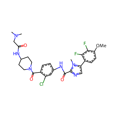 COc1ccc(-c2cnc(C(=O)Nc3ccc(C(=O)N4CCC(NC(=O)CN(C)C)CC4)c(Cl)c3)n2C)c(F)c1F